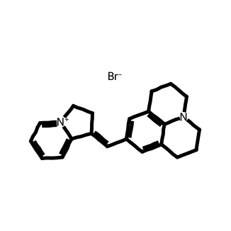 C(=C1CC[n+]2ccccc21)c1cc2c3c(c1)CCCN3CCC2.[Br-]